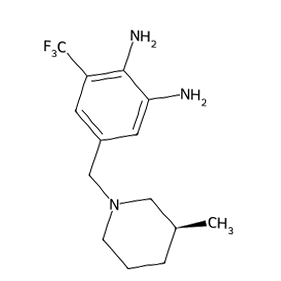 C[C@H]1CCCN(Cc2cc(N)c(N)c(C(F)(F)F)c2)C1